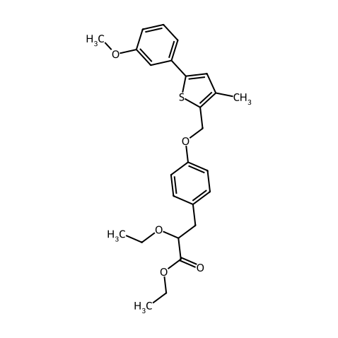 CCOC(=O)C(Cc1ccc(OCc2sc(-c3cccc(OC)c3)cc2C)cc1)OCC